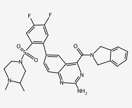 CC1CN(S(=O)(=O)c2cc(F)c(F)cc2-c2ccc3nc(N)nc(C(=O)N4Cc5ccccc5C4)c3c2)CCN1C